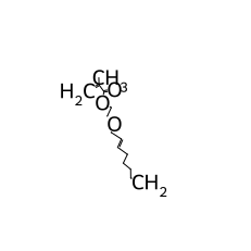 C=CCCC/C=C/COCCOC(=O)C(=C)C